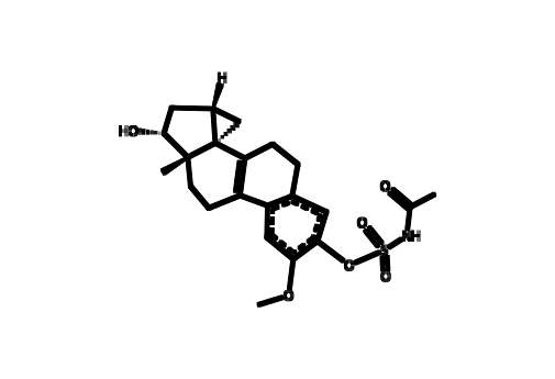 COc1cc2c(cc1OS(=O)(=O)NC(C)=O)CCC1=C2CC[C@]2(C)[C@H](O)C[C@@H]3C[C@@]132